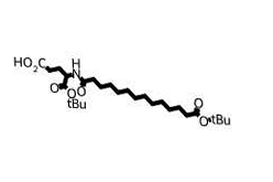 CC(C)(C)OC(=O)CCCCCCCCCCCCC(=O)NC(CCC(=O)O)C(=O)OC(C)(C)C